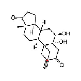 C#CCC12CCC(=O)C[C@]1(O)[C@H](O)C[C@@H]1[C@@H]2CC[C@]2(C)C(=O)CC[C@@H]12